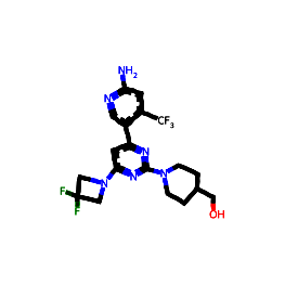 Nc1cc(C(F)(F)F)c(-c2cc(N3CC(F)(F)C3)nc(N3CCC(CO)CC3)n2)cn1